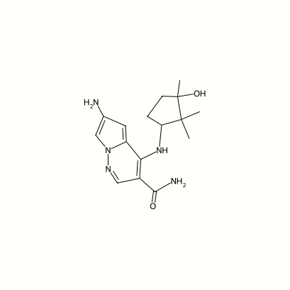 CC1(O)CCC(Nc2c(C(N)=O)cnn3cc(N)cc23)C1(C)C